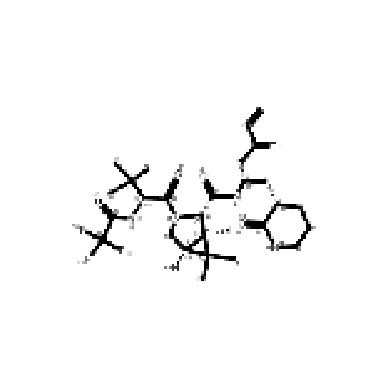 C=CC(=O)C[C@H](C[C@@H]1CCCNC1=O)NC(=O)[C@@H]1[C@@H]2[C@H](CN1C(=O)[C@@H](NC(=O)C(F)(F)F)C(C)(C)C)C2(C)C